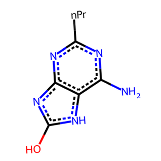 CCCc1nc(N)c2[nH]c(O)nc2n1